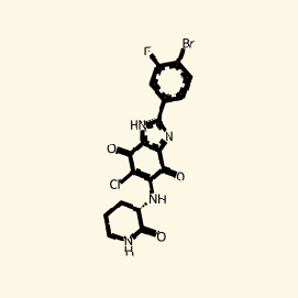 O=C1C(N[C@H]2CCCNC2=O)=C(Cl)C(=O)c2[nH]c(-c3ccc(Br)c(F)c3)nc21